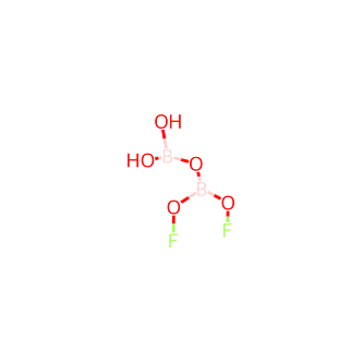 OB(O)OB(OF)OF